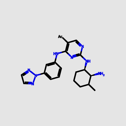 CC(=O)c1cnc(N[C@@H]2CCCC(C)[C@@H]2N)nc1Nc1cccc(-n2nccn2)c1